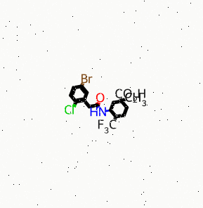 CC1(C(=O)O)CCC(C(F)(F)F)[C@@H](NC(=O)Cc2cc(Br)ccc2Cl)C1